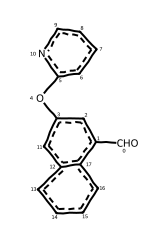 O=Cc1cc(Oc2ccccn2)cc2ccccc12